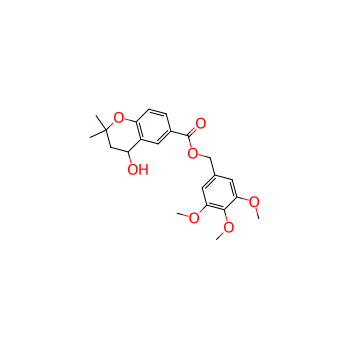 COc1cc(COC(=O)c2ccc3c(c2)C(O)CC(C)(C)O3)cc(OC)c1OC